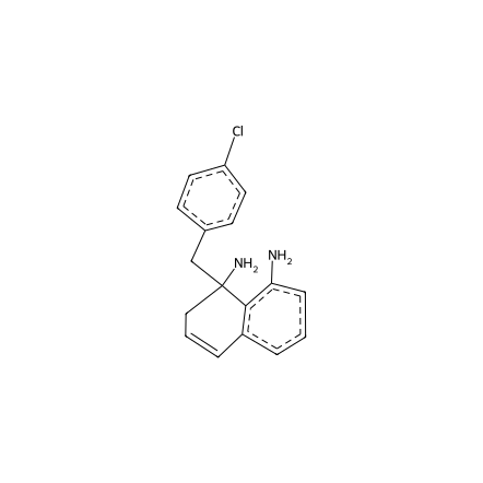 Nc1cccc2c1C(N)(Cc1ccc(Cl)cc1)CC=C2